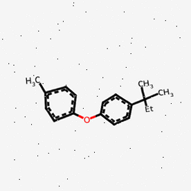 CCC(C)(C)c1ccc(Oc2ccc(C)cc2)cc1